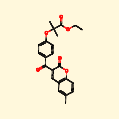 CCOC(=O)C(C)(C)Oc1ccc(C(=O)c2cc3cc(C)ccc3oc2=O)cc1